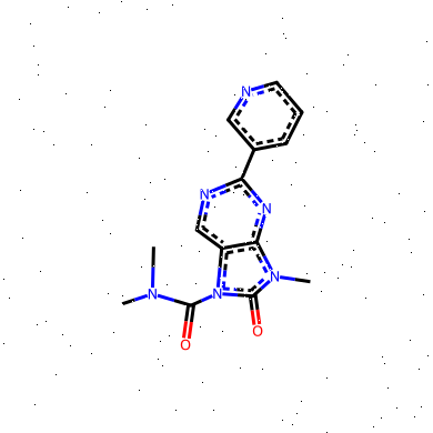 CN(C)C(=O)n1c(=O)n(C)c2nc(-c3cccnc3)ncc21